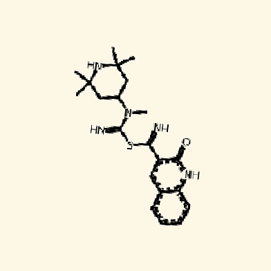 CN(C(=N)SC(=N)c1cc2ccccc2[nH]c1=O)C1CC(C)(C)NC(C)(C)C1